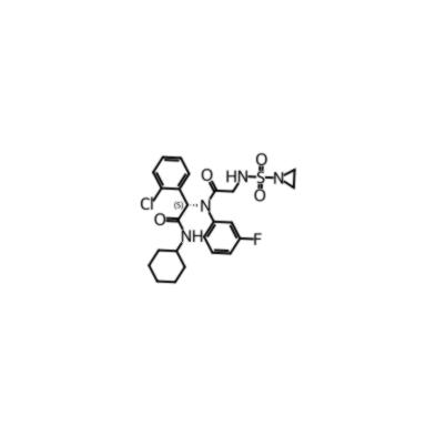 O=C(NC1CCCCC1)[C@H](c1ccccc1Cl)N(C(=O)CNS(=O)(=O)N1CC1)c1cccc(F)c1